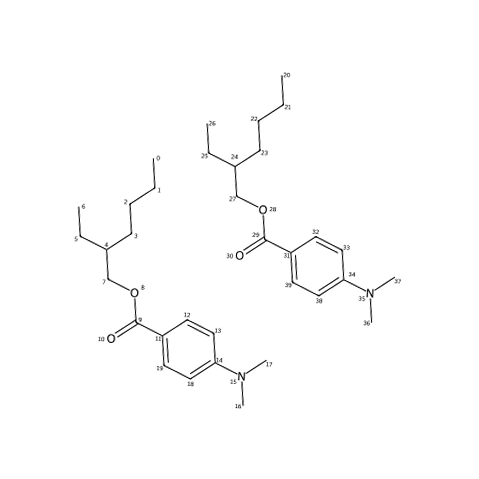 CCCCC(CC)COC(=O)c1ccc(N(C)C)cc1.CCCCC(CC)COC(=O)c1ccc(N(C)C)cc1